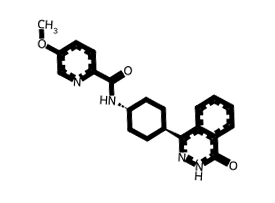 COc1ccc(C(=O)N[C@H]2CC[C@H](c3n[nH]c(=O)c4ccccc43)CC2)nc1